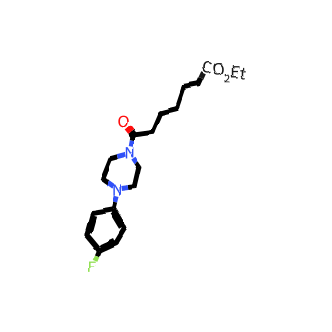 CCOC(=O)CCCCCC(=O)N1CCN(c2ccc(F)cc2)CC1